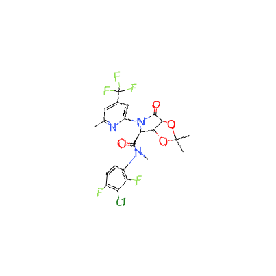 Cc1cc(C(F)(F)F)cc(N2C(=O)C3OC(C)(C)OC3[C@H]2C(=O)N(C)c2ccc(F)c(Cl)c2F)n1